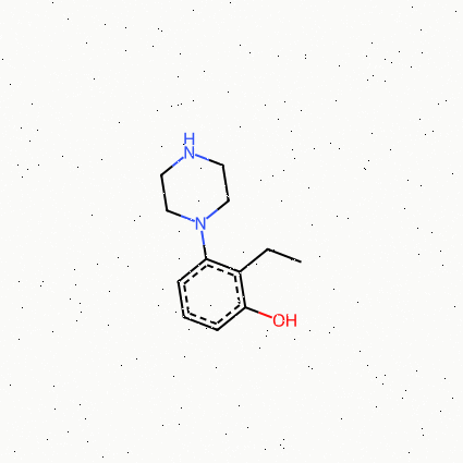 CCc1c(O)cccc1N1CCNCC1